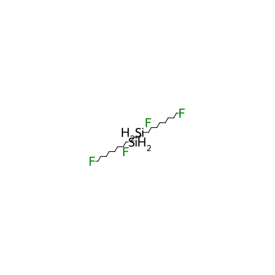 FCCCCCCC(F)C[SiH2]CC[SiH2]CC(F)CCCCCCF